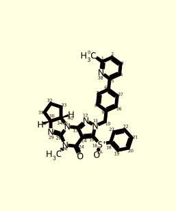 Cc1cccc(-c2ccc(Cn3nc4c(c3[S+]([O-])c3ccccc3)C(=O)N(C)C3=N[C@@H]5CCC[C@@H]5N34)cc2)n1